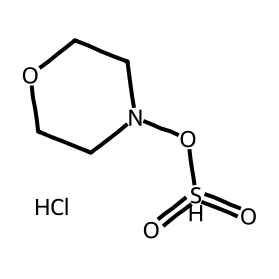 Cl.O=[SH](=O)ON1CCOCC1